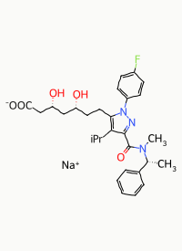 CC(C)c1c(C(=O)N(C)[C@H](C)c2ccccc2)nn(-c2ccc(F)cc2)c1CC[C@@H](O)C[C@@H](O)CC(=O)[O-].[Na+]